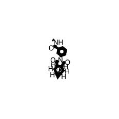 CNC(=O)c1cccc(N2C(=O)[C@@H]3[C@@H]4CC[C@@H]([C@H]5C[C@H]54)[C@@H]3C2=O)c1